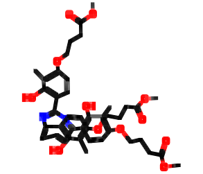 COC(=O)CCCOc1ccc(C2=N/C(c3ccc(OCCCC(=O)OC)c(C)c3O)=C/C=C/C(c3ccc(OCCCC(=O)OC)c(C)c3O)=N\2)c(O)c1C